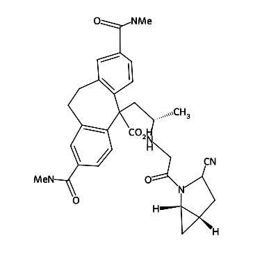 CNC(=O)c1ccc2c(c1)CCc1cc(C(=O)NC)ccc1C2(C[C@H](C)NCC(=O)N1C(C#N)C[C@@H]2C[C@@H]21)C(=O)O